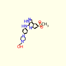 CS(=O)(=O)c1ccc2nc(Nc3ccc(N4CCN(CCO)CC4)cc3)c3[nH]ncc3c2c1